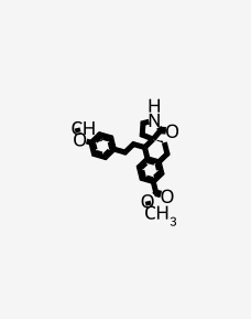 COC(=O)c1ccc2c(c1)CC[C@@]1(CCNC1=O)C2CCc1ccc(OC)cc1